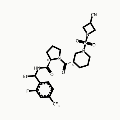 CCC(NC(=O)[C@H]1CCCN1C(=O)[C@H]1CCCN(S(=O)(=O)N2CC(C#N)C2)C1)c1ccc(C(F)(F)F)cc1F